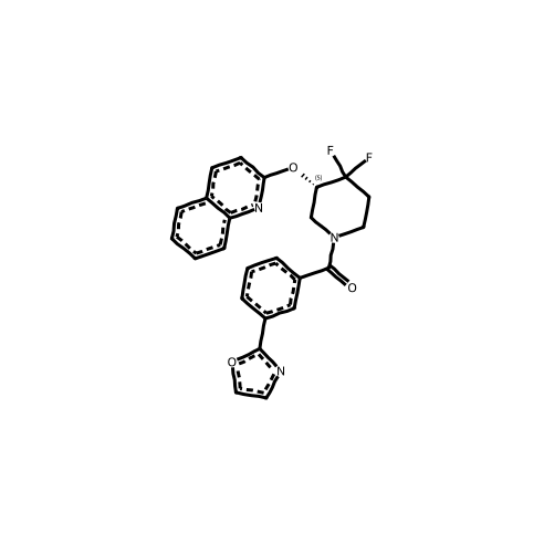 O=C(c1cccc(-c2ncco2)c1)N1CCC(F)(F)[C@@H](Oc2ccc3ccccc3n2)C1